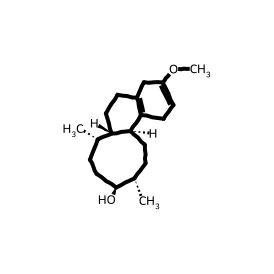 COC1=CCC2=C(CC[C@@H]3[C@@H]2CC[C@H](C)[C@@H](O)CC[C@@H]3C)C1